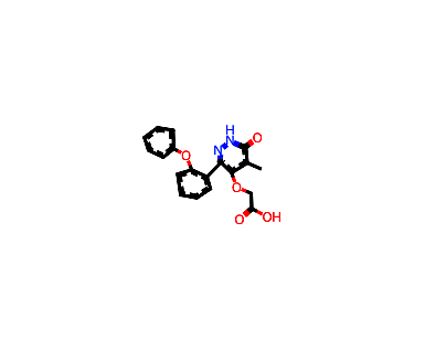 Cc1c(OCC(=O)O)c(-c2ccccc2Oc2ccccc2)n[nH]c1=O